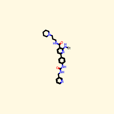 CCNc1nc(-c2ccc(NC(=O)NCc3cccnc3)cc2)ccc1C(=O)NCCCN1CCCCC1